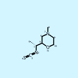 C[C@@H](N=C=S)C1CN(C)CCO1